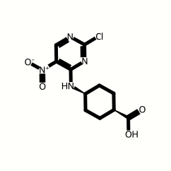 O=C(O)[C@H]1CC[C@@H](Nc2nc(Cl)ncc2[N+](=O)[O-])CC1